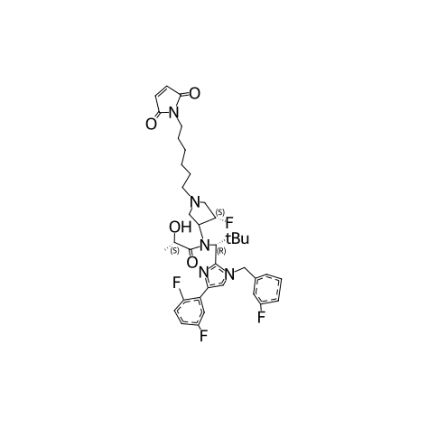 C[C@H](O)C(=O)N(C1CN(CCCCCCN2C(=O)C=CC2=O)C[C@@H]1F)[C@@H](c1nc(-c2cc(F)ccc2F)cn1Cc1cccc(F)c1)C(C)(C)C